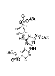 CCCCCCCCSc1nc(Nc2ccc(OC(=O)OC(C)(C)C)cc2)nc(Nc2ccc(OC(=O)OC(C)(C)C)cc2)n1